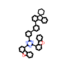 c1cc(-c2cccc(-c3cccc4c3-c3ccccc3C43CCCCC3)c2)cc(-c2nc(-c3cccc4oc5ccccc5c34)nc(-c3cccc4oc5ccccc5c34)n2)c1